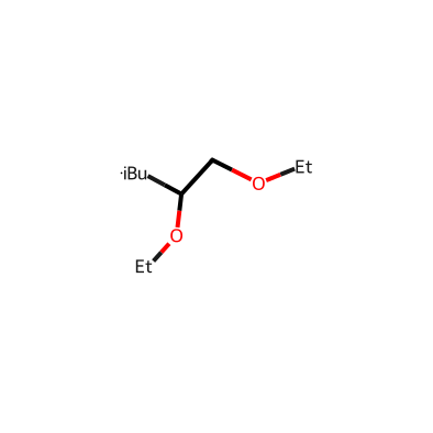 CCOCC(OCC)[C](C)CC